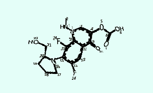 CNn1cc(OC(=O)O)c(=O)c2cc(F)c(N3CCC[C@H]3CO)c(F)c21